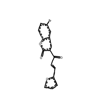 O=C(C=Cc1ccco1)c1cc2cc(Br)ccc2oc1=O